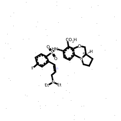 CCN(CC)C/C=C\c1cc(F)ccc1S(=O)(=O)Nc1ccc2c(c1C(=O)O)OC[C@H]1CCCN21